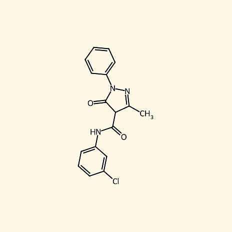 CC1=NN(c2ccccc2)C(=O)C1C(=O)Nc1cccc(Cl)c1